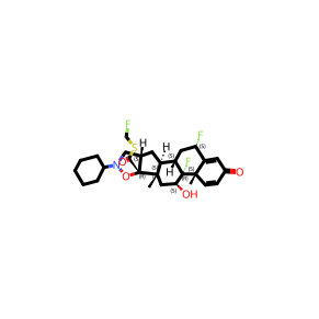 C[C@]12C=CC(=O)C=C1[C@@H](F)C[C@H]1[C@@H]3C[C@H]4CN(C5CCCCC5)O[C@@]4(C(=O)SCF)[C@@]3(C)C[C@H](O)[C@@]12F